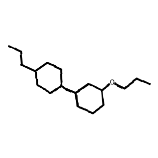 CCCOC1CCCC(C2CCC(CCC)CC2)C1